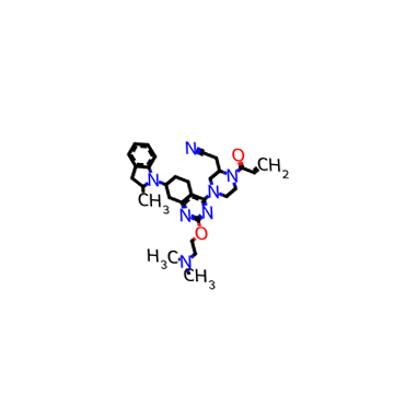 C=CC(=O)N1CCN(c2nc(OCCN(C)C)nc3c2CCC(N2c4ccccc4CC2C)C3)CC1CC#N